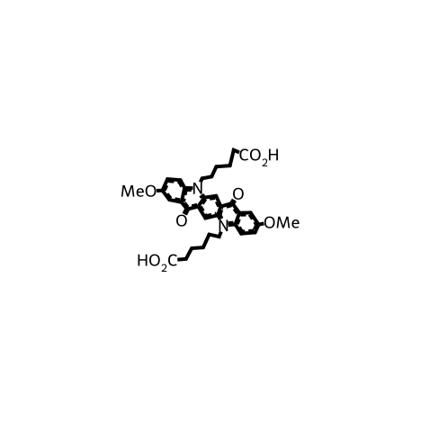 COc1ccc2c(c1)c(=O)c1cc3c(cc1n2CCCCCC(=O)O)c(=O)c1cc(OC)ccc1n3CCCCCC(=O)O